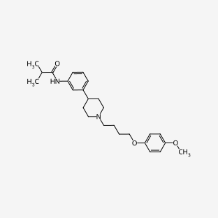 COc1ccc(OCCCCN2CCC(c3cccc(NC(=O)C(C)C)c3)CC2)cc1